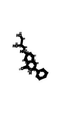 O=c1[nH]c(-c2ccccc2)cc2ccc(NCC(O)CO)cc12